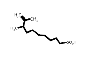 C=C(C)C(C)CCCCCCCS(=O)(=O)O